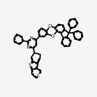 C1=c2sc3ccccc3c2=CCC1c1cc(-c2ccc3c(c2)Oc2c(ccc4c2-c2ccccc2C4(c2ccccc2)c2ccccc2)O3)nc(-c2ccccc2)n1